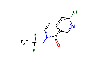 O=c1c2cnc(Cl)cc2ccn1CC(F)(F)C(F)(F)F